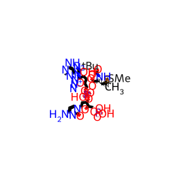 CSS[C@H](C)C[C@@H](NC(=O)OC(C)(C)C)C(=O)OC1C(COP(=O)(O)OC2CC(n3ccc(N)nc3=O)OC2COP(=O)(O)O)OC(N=[N+]=[N-])(n2cnc3c(N)ncnc32)C1O